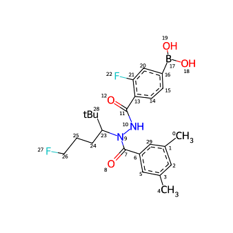 Cc1cc(C)cc(C(=O)N(NC(=O)c2ccc(B(O)O)cc2F)C(CCCF)C(C)(C)C)c1